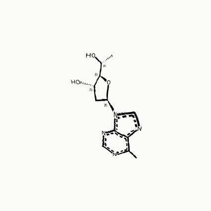 Cc1ncnc2c1ncn2[C@H]1C[C@H](O)[C@@H]([C@@H](C)O)O1